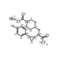 CC(C)(C)OC(=O)N1CCC(CN(C(=O)C(F)(F)F)C2CC2c2ccc(I)cc2)CC1